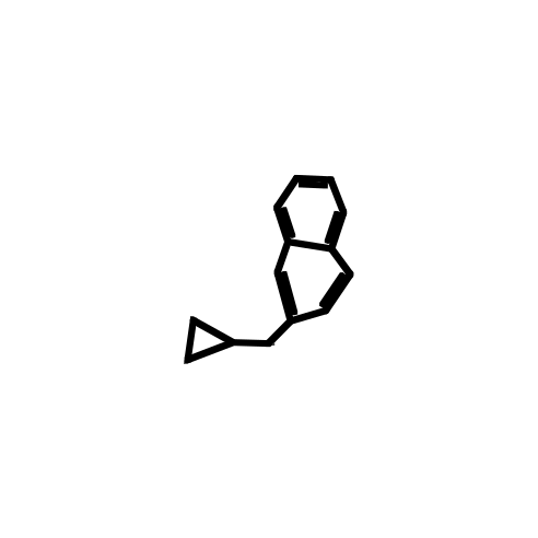 [CH](c1ccc2ccccc2c1)C1CC1